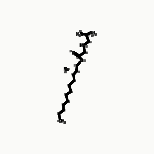 CCCCCCCCCCCCOC(=O)CNCC(N)N.[Na]